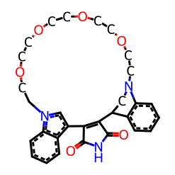 O=C1NC(=O)C2=C1c1cn(c3ccccc13)CCOCCOCCOCCOCCN1CC2c2ccccc21